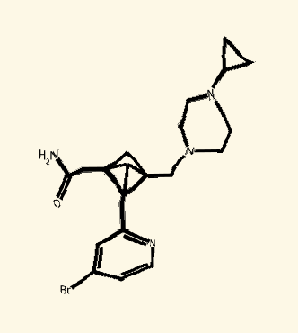 NC(=O)C12CC(CN3CCN(C4CC4)CC3)(C1)C2c1cc(Br)ccn1